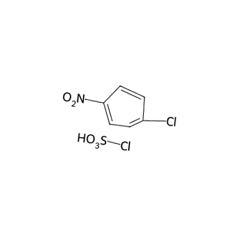 O=S(=O)(O)Cl.O=[N+]([O-])c1ccc(Cl)cc1